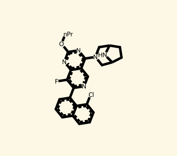 CCCOc1nc(N2CC3CCC(C2)N3)c2cnc(-c3cccc4cccc(Cl)c34)c(F)c2n1